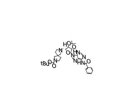 CC(C)(C)OC(=O)N1CCC2(CCN(C[C@H]3O[C@@H](n4cnc5c(NC(=O)c6ccccc6)ncnc54)[C@@H]4OC(C)(C)O[C@@H]43)C2)C1